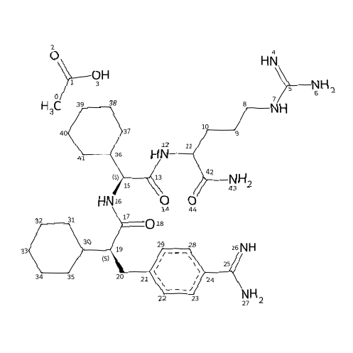 CC(=O)O.N=C(N)NCCCC(NC(=O)[C@@H](NC(=O)[C@@H](Cc1ccc(C(=N)N)cc1)C1CCCCC1)C1CCCCC1)C(N)=O